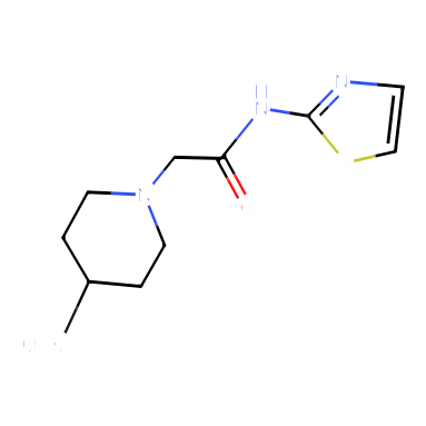 O=CC1CCN(CC(=O)Nc2nccs2)CC1